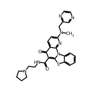 CN(Cc1cnccn1)c1ccc2c(=O)c(C(=O)NCCN3CCCC3)c3sc4ccccc4n3c2n1